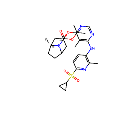 Cc1nc(S(=O)(=O)C2CC2)ccc1Nc1ncnc(O[C@H]2CC3CC[C@@H](C2)N3C(=O)OC(C)C)c1C